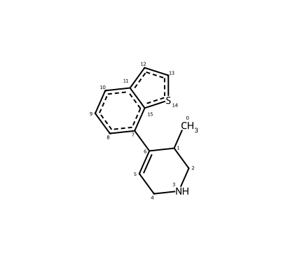 CC1CNCC=C1c1cccc2ccsc12